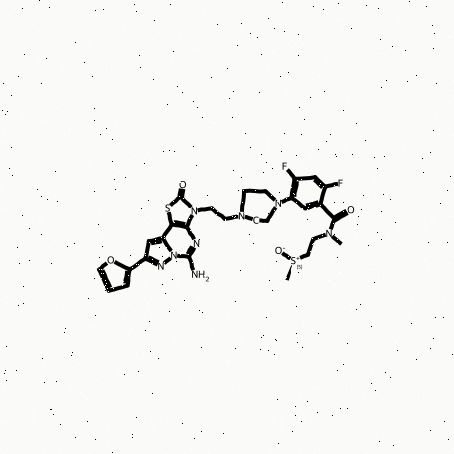 CN(CC[S@@+](C)[O-])C(=O)c1cc(N2CCN(CCn3c(=O)sc4c3nc(N)n3nc(-c5ccco5)cc43)CC2)c(F)cc1F